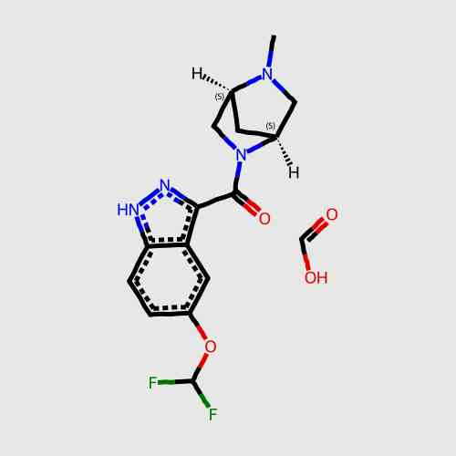 CN1C[C@@H]2C[C@H]1CN2C(=O)c1n[nH]c2ccc(OC(F)F)cc12.O=CO